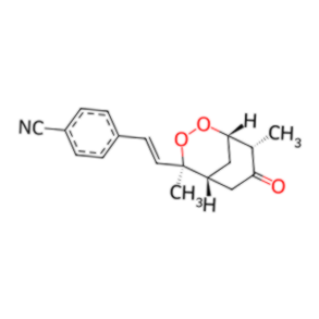 C[C@@H]1C(=O)C[C@H]2C[C@@H]1OO[C@]2(C)C=Cc1ccc(C#N)cc1